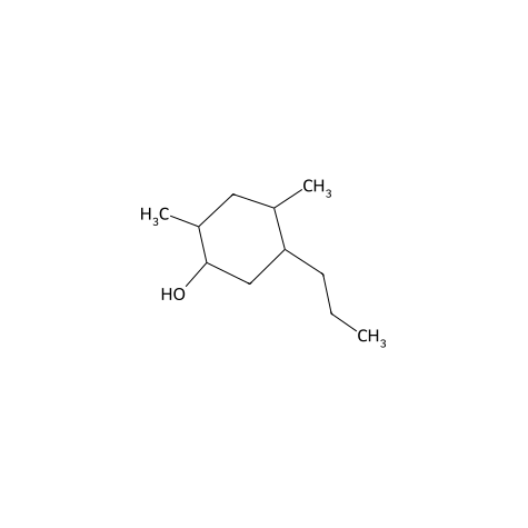 CCCC1CC(O)C(C)CC1C